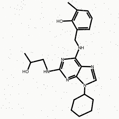 Cc1cccc(CNc2nc(NCC(C)O)nc3c2ncn3C2CCCCC2)c1O